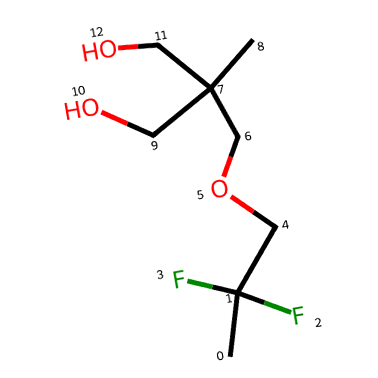 CC(F)(F)COCC(C)(CO)CO